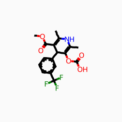 COC(=O)C1=C(C)NC(C)=C(OC(=O)O)C1c1cccc(C(F)(F)F)c1